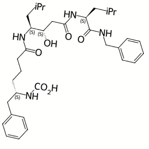 CC(C)C[C@H](NC(=O)C[C@H](O)[C@H](CC(C)C)NC(=O)CCC[C@@H](Cc1ccccc1)NC(=O)O)C(=O)NCc1ccccc1